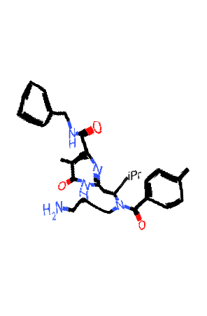 Cc1ccc(C(=O)N(CCCN)C(c2nc(C(=O)NCc3ccccc3)c(C)c(=O)[nH]2)C(C)C)cc1